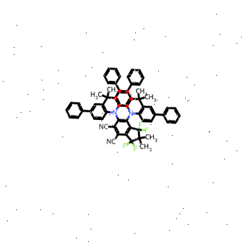 CC1(C)c2cc(-c3ccccc3)ccc2N(c2c(C#N)c(C#N)c3c(c2N2c4ccc(-c5ccccc5)cc4C(C)(C)c4cc(-c5ccccc5)ccc42)C(F)(F)C(C)(C)C3(F)F)c2ccc(-c3ccccc3)cc21